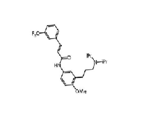 COc1ccc(NC(=O)C=Cc2cccc(C(F)(F)F)c2)cc1CCCN(C(C)C)C(C)C